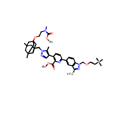 CCOC(=O)c1nn(COCC[Si](C)(C)C)c2ccc(-c3ccc(-c4cnn(CC56CC7(C)CC(C)(C5)CC(OCCN(C)C(=O)OC(C)(C)C)(C7)C6)c4C)c(C(=O)OC(C)(C)C)n3)cc12